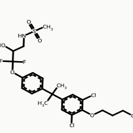 CC(C)(c1ccc(OC(F)(F)C(O)CNS(C)(=O)=O)cc1)c1cc(Cl)c(OCCCCl)c(Cl)c1